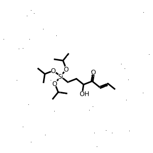 CC=CC(=O)C(O)CC[Si](OC(C)C)(OC(C)C)OC(C)C